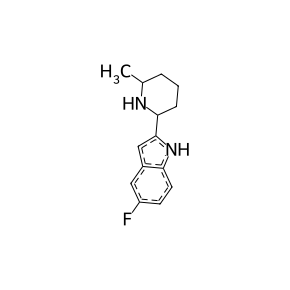 CC1CCCC(c2cc3cc(F)ccc3[nH]2)N1